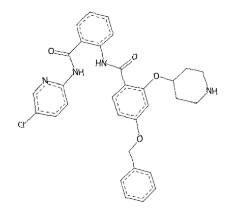 O=C(Nc1ccc(Cl)cn1)c1ccccc1NC(=O)c1ccc(OCc2ccccc2)cc1OC1CCNCC1